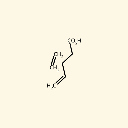 C=C.C=CCCC(=O)O